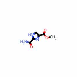 COC(=O)c1c[nH]c(C(N)=O)n1